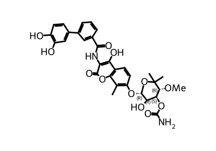 CO[C@@H]1[C@@H](OC(N)=O)[C@@H](O)[C@H](Oc2ccc3c(O)c(NC(=O)c4cccc(-c5ccc(O)c(O)c5)c4)c(=O)oc3c2C)OC1(C)C